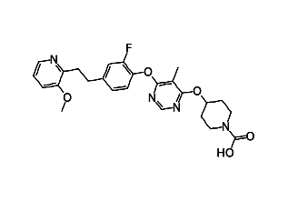 COc1cccnc1CCc1ccc(Oc2ncnc(OC3CCN(C(=O)O)CC3)c2C)c(F)c1